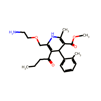 CCCC(=O)C1=C(COCCN)NC(C)=C(C(=O)OC)C1c1ccccc1C